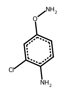 NOc1ccc(N)c(Cl)c1